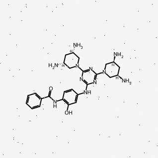 N[C@@H]1C[C@H](N)CN(c2nc(Nc3ccc(NC(=O)c4ccccc4)c(O)c3)nc(N3C[C@H](N)C[C@H](N)C3)n2)C1